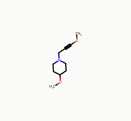 COC1CCN(CC#CSC)CC1